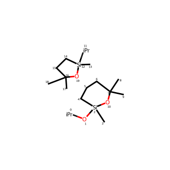 CC(C)O[Si]1(C)CCCC(C)(C)O1.CC(C)[Si]1(C)CCC(C)(C)O1